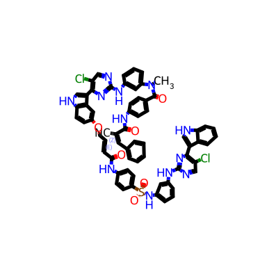 CN(C(=O)c1ccc(NC(=O)/C(C#N)=C\c2ccccc2)cc1)c1cccc(Nc2ncc(Cl)c(-c3c[nH]c4ccc(OC/C=C/C(=O)Nc5ccc(S(=O)(=O)Nc6cccc(Nc7ncc(Cl)c(-c8c[nH]c9ccccc89)n7)c6)cc5)cc34)n2)c1